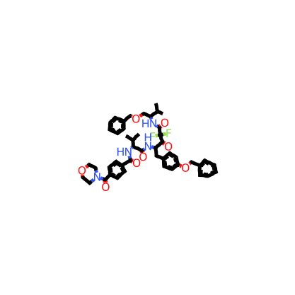 CC(C)C(COCc1ccccc1)NC(=O)C(F)(F)C(=O)C(Cc1ccc(OCc2ccccc2)cc1)NC(=O)C(NC(=O)c1ccc(C(=O)N2CCOCC2)cc1)C(C)C